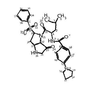 CC(C)CC(NC(=O)c1ccc(N2CCCC2)cc1)C(=O)N1C2C(=O)CNC2CC1S(=O)(=O)c1ccccc1